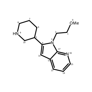 COCCn1c(C2CCCNC2)cc2cccnc21